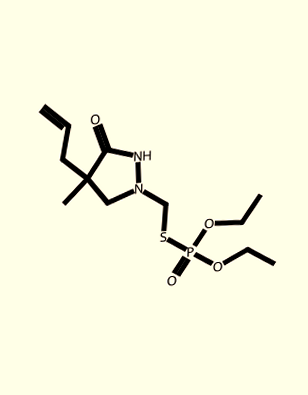 C=CCC1(C)CN(CSP(=O)(OCC)OCC)NC1=O